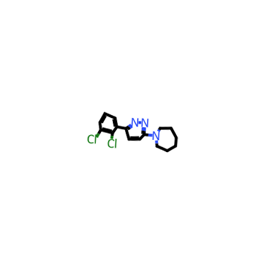 Clc1cccc(-c2ccc(N3CCCCCC3)nn2)c1Cl